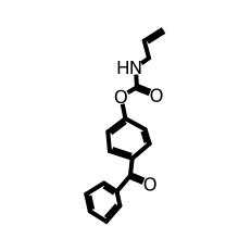 C=CCNC(=O)Oc1ccc(C(=O)c2ccccc2)cc1